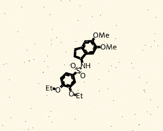 CCOc1ccc(S(=O)(=O)NC2CCc3cc(OC)c(OC)cc32)cc1OCC